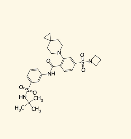 CC(C)(C)NS(=O)(=O)c1cccc(NC(=O)c2ccc(S(=O)(=O)N3CCC3)cc2N2CCC3(CC2)CC3)c1